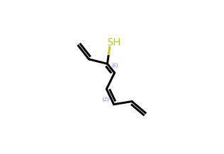 C=C/C=C\C=C(\S)C=C